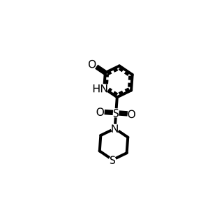 O=c1cccc(S(=O)(=O)N2CCSCC2)[nH]1